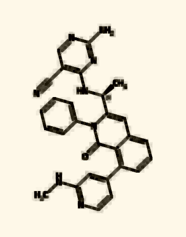 CNc1cc(-c2cccc3cc([C@H](C)Nc4nc(N)ncc4C#N)n(-c4ccccc4)c(=O)c23)ccn1